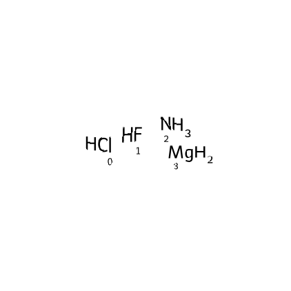 Cl.F.N.[MgH2]